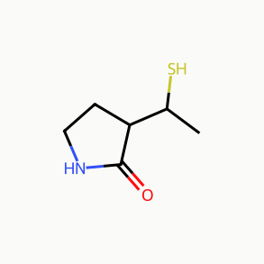 CC(S)C1CCNC1=O